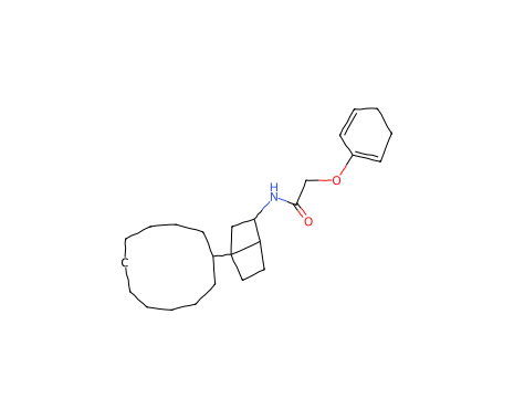 O=C(COC1=CCCC=C1)NC1CC2(C3CCCCCCCCCC3)CCC12